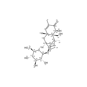 CC1=C[C@H]2O[C@@H]3[C@H](O[C@@H]4O[C@H](C(=O)O)[C@@H](O)[C@H](O)[C@H]4O)C[C@](C)([C@@]2(CO)[C@H](O)C1=O)[C@]31CO1